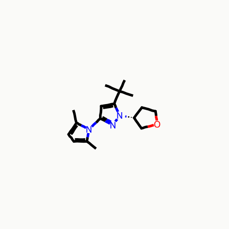 Cc1ccc(C)n1-c1cc(C(C)(C)C)n([C@@H]2CCOC2)n1